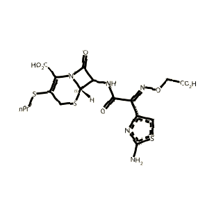 CCCSC1=C(C(=O)O)N2C(=O)C(NC(=O)C(=NOCC(=O)O)c3csc(N)n3)[C@@H]2SC1